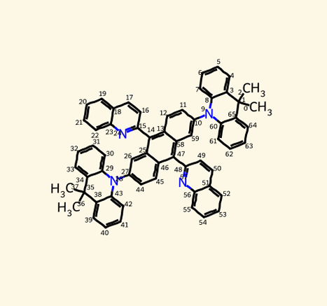 CC1(C)c2ccccc2N(c2ccc3c(-c4ccc5ccccc5n4)c4cc(N5c6ccccc6C(C)(C)c6ccccc65)ccc4c(-c4ccc5ccccc5n4)c3c2)c2ccccc21